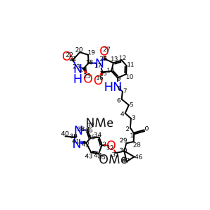 C=C(CCCCCCNc1cccc2c1C(=O)N(C1CCC(=O)NC1=O)C2=O)CCC1(COc2cc3c(NC)nc(C)nc3cc2OC)CC1